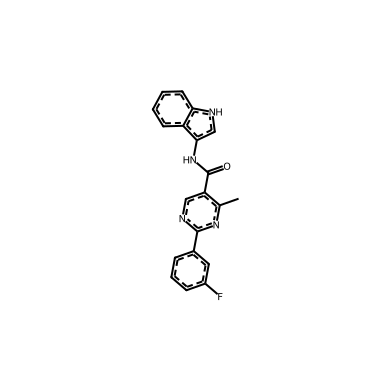 Cc1nc(-c2cccc(F)c2)ncc1C(=O)Nc1c[nH]c2ccccc12